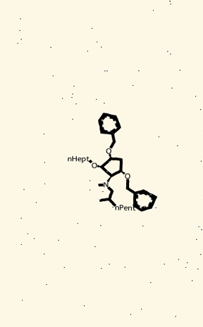 CCCCCCCO[C@@H]1[C@H](N(C)CC(C)CCCCC)[C@H](OCc2ccccc2)C[C@@H]1OCc1ccccc1